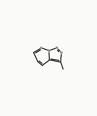 Cc1nnn2ncccc12